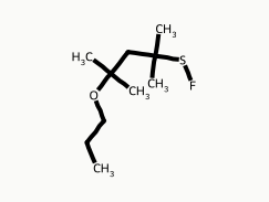 CCCOC(C)(C)CC(C)(C)SF